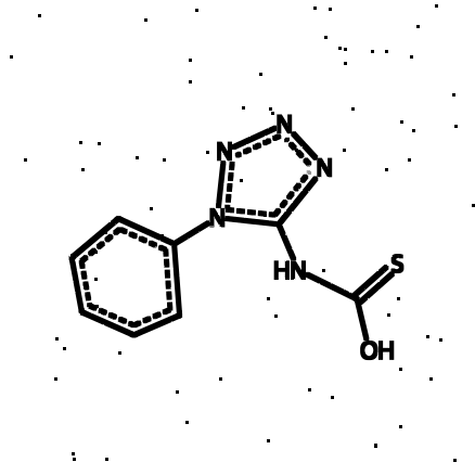 OC(=S)Nc1nnnn1-c1ccccc1